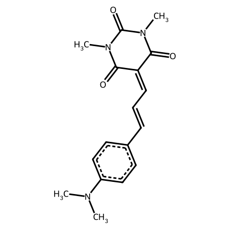 CN1C(=O)C(=CC=Cc2ccc(N(C)C)cc2)C(=O)N(C)C1=O